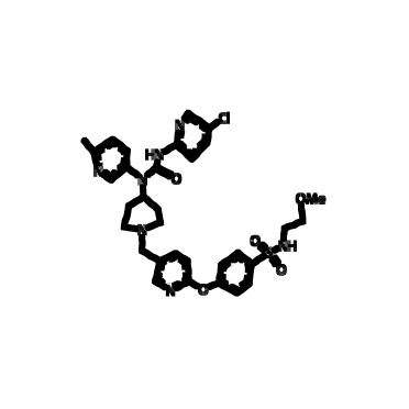 COCCNS(=O)(=O)c1ccc(Oc2ccc(CN3CCC(N(C(=O)Nc4ccc(Cl)cn4)c4ccc(C)nc4)CC3)cn2)cc1